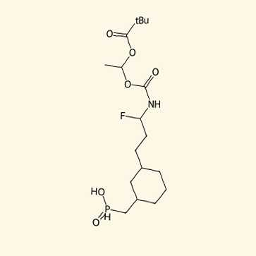 CC(OC(=O)NC(F)CCC1CCCC(C[PH](=O)O)C1)OC(=O)C(C)(C)C